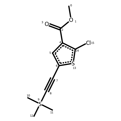 COC(=O)c1cc(C#CS(C)(C)C)sc1Cl